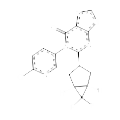 O=c1c2ncsc2nc([C@H]2C[C@@H]3[C@H](C2)C3(F)F)n1-c1ccc(Cl)nc1